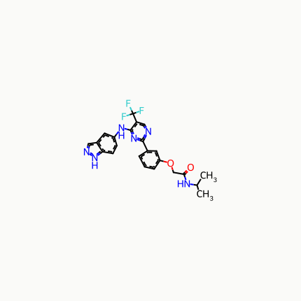 CC(C)NC(=O)COc1cccc(-c2ncc(C(F)(F)F)c(Nc3ccc4[nH]ncc4c3)n2)c1